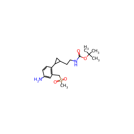 CC(C)(C)OC(=O)NCCC1CC1c1ccc(N)cc1CS(C)(=O)=O